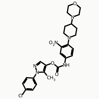 Cc1c(OC(=O)Nc2ccc(N3CCC(N4CCOCC4)CC3)c([N+](=O)[O-])c2)cnn1-c1ccc(Cl)cc1